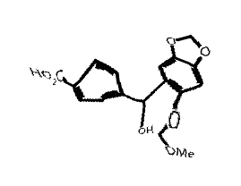 COCOc1cc2c(cc1C(O)c1ccc(C(=O)O)cc1)OCO2